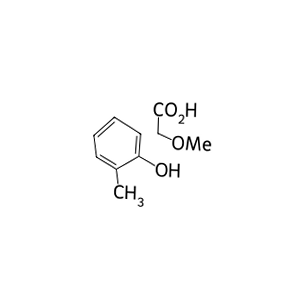 COCC(=O)O.Cc1ccccc1O